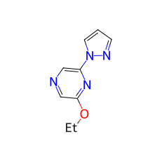 CCOc1cncc(-n2cccn2)n1